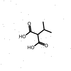 CC(C)[C](C(=O)O)C(=O)O